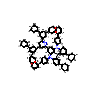 c1ccc(-c2ccc(N3c4ccc(C5CCCCC5)cc4B4c5cc(C6CCCCC6)ccc5N(c5ccc(-c6ccccc6)cc5)c5cc(-c6cc(-c7cc(-c8ccccc8)cc(-c8ccccc8)c7)cc(-c7cc(-c8ccccc8)cc(-c8ccccc8)c7)n6)cc3c54)cc2)cc1